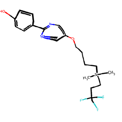 C[Si](C)(CCCCOc1cnc(-c2ccc(O)cc2)nc1)CCC(F)(F)F